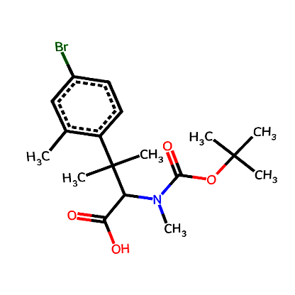 Cc1cc(Br)ccc1C(C)(C)C(C(=O)O)N(C)C(=O)OC(C)(C)C